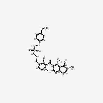 COc1ccc(CNS(=O)(=O)CCCc2ccc(F)c(Nc3ccc4ncn(C)c(=O)c4c3C)c2F)cc1